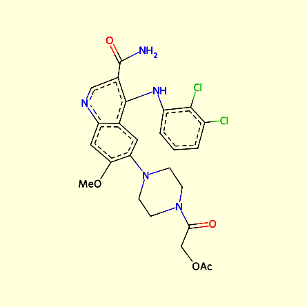 COc1cc2ncc(C(N)=O)c(Nc3cccc(Cl)c3Cl)c2cc1N1CCN(C(=O)COC(C)=O)CC1